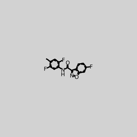 Cc1cc(F)c(NC(=O)c2noc3cc(F)ccc23)cc1F